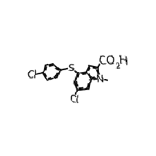 Cn1c(C(=O)O)cc2c(Sc3ccc(Cl)cc3)cc(Cl)cc21